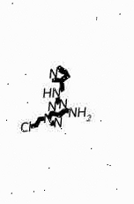 Nc1nc(NCc2cccnc2)nc2c1ncn2CCCl